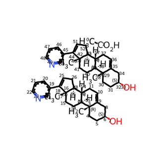 CC(=O)O.C[C@]12CC[C@H](O)CC1=CC[C@@H]1[C@@H]2CC[C@]2(C)C(c3cccnc3)=CC[C@@H]12.C[C@]12CC[C@H](O)CC1=CC[C@@H]1[C@@H]2CC[C@]2(C)C(c3cccnc3)=CC[C@@H]12